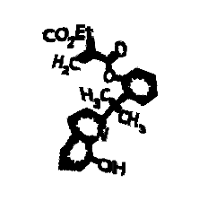 C=C(C(=O)OCC)C(=O)Oc1ccccc1C(C)(C)c1ccc2cccc(O)c2n1